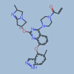 C=CC(=O)N1CCN(c2nc(O[C@H]3CC4=NC(C)CN4C3)nc3c(Oc4c(C)ccc5[nH]ncc45)cccc23)CC1